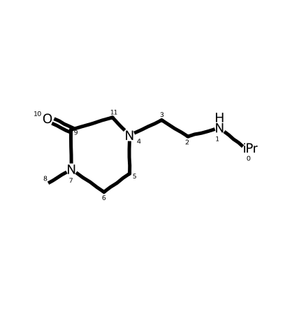 CC(C)NCCN1CCN(C)C(=O)C1